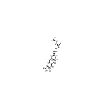 CN(C)CCN(C)CCCOc1ccc2c(c1)CCC(CN1CCCC1)C2